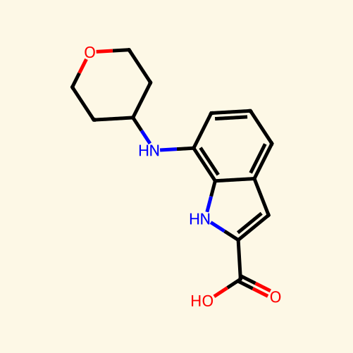 O=C(O)c1cc2cccc(NC3CCOCC3)c2[nH]1